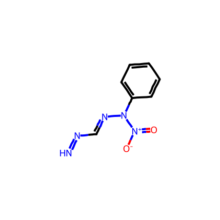 N=NC=NN(c1ccccc1)[N+](=O)[O-]